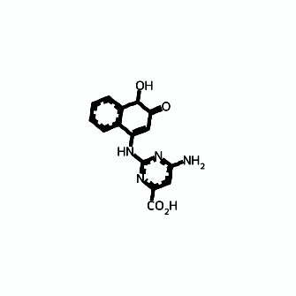 Nc1cc(C(=O)O)nc(NC2=CC(=O)C(O)c3ccccc32)n1